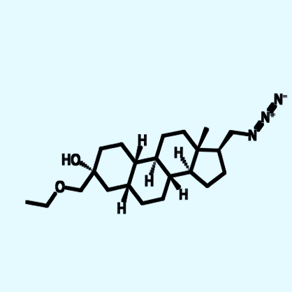 CCOC[C@@]1(O)CC[C@H]2[C@H](CC[C@@H]3[C@@H]2CC[C@]2(C)[C@@H](CN=[N+]=[N-])CC[C@@H]32)C1